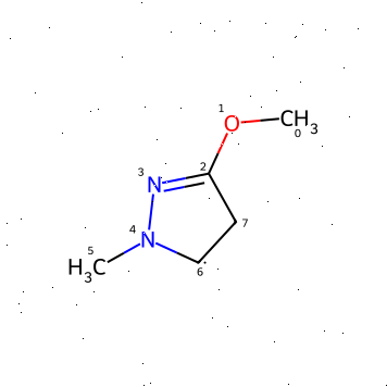 COC1=NN(C)[CH]C1